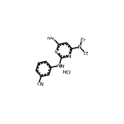 CCCc1cc(N(CC)CC)nc(Nc2cccc(C#N)c2)n1.Cl